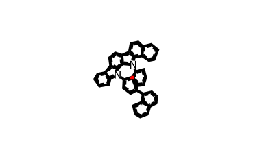 c1ccc(-n2c3c4ccccc4ccc3c3ccc4c5ccccc5n(-c5ccc(-c6cccc7ccccc67)cc5)c4c32)cc1